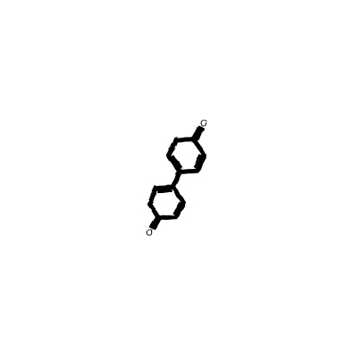 O=C1C=[C]C(C2=CCC(=O)C=C2)=CC1